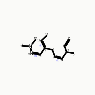 C=CC(C)/C=C\CC(/C=N\N(C)C)=C\C